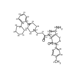 Cc1ccc(N2CCc3c(N)nn(C(=O)CCN4CCN(c5ccccc5C5CCCCC5)CC4)c3C2=O)cc1